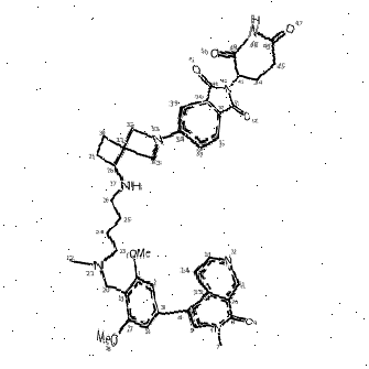 COc1cc(-c2cn(C)c(=O)c3cnccc23)cc(OC)c1CN(C)CCCCNC1CCC12CN(c1ccc3c(c1)C(=O)N(C1CCC(=O)NC1=O)C3=O)C2